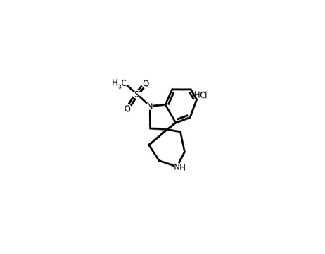 CS(=O)(=O)N1CC2(CCNCC2)c2ccccc21.Cl